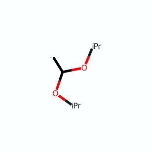 [CH2]C(OC(C)C)OC(C)C